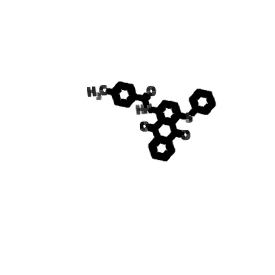 Cc1ccc(C(=O)Nc2ccc(Sc3ccccc3)c3c2C(=O)c2ccccc2C3=O)cc1